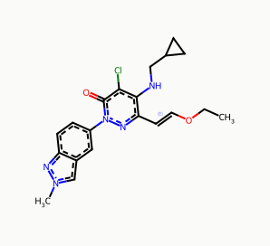 CCO/C=C/c1nn(-c2ccc3nn(C)cc3c2)c(=O)c(Cl)c1NCC1CC1